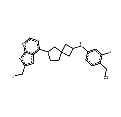 N#CCc1ccc(NC2CC3(CCN(c4ncnc5sc(CC(F)(F)F)cc45)C3)C2)cc1F